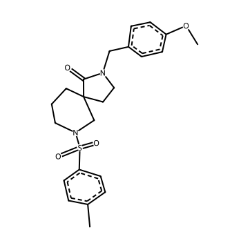 COc1ccc(CN2CCC3(CCCN(S(=O)(=O)c4ccc(C)cc4)C3)C2=O)cc1